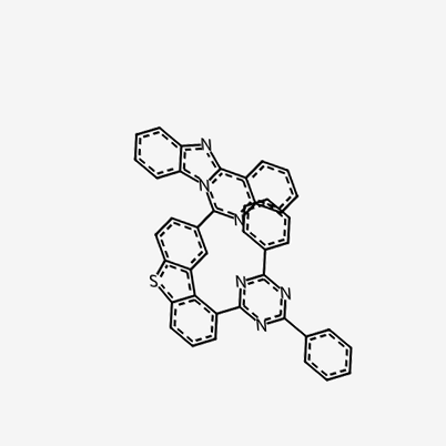 c1ccc(-c2nc(-c3ccccc3)nc(-c3cccc4sc5ccc(-c6nc7ccccc7c7nc8ccccc8n67)cc5c34)n2)cc1